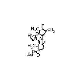 Cc1cc(-n2nc3c(c2-n2cc[nH]c2=O)C(C)N(C(=O)OC(C)(C)C)CC3)cc(C)c1F